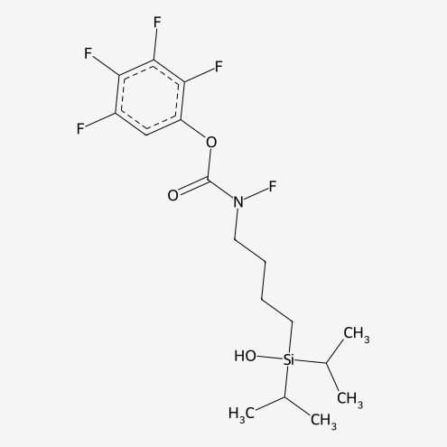 CC(C)[Si](O)(CCCCN(F)C(=O)Oc1cc(F)c(F)c(F)c1F)C(C)C